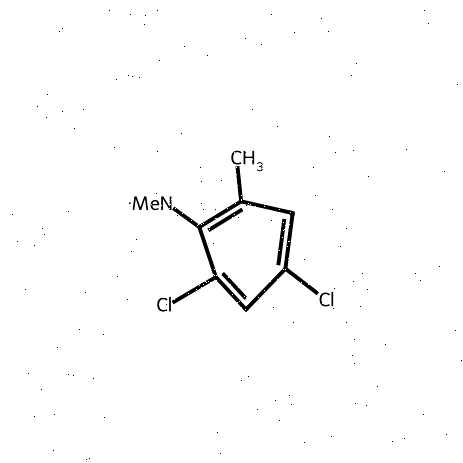 C[N]c1c(C)cc(Cl)cc1Cl